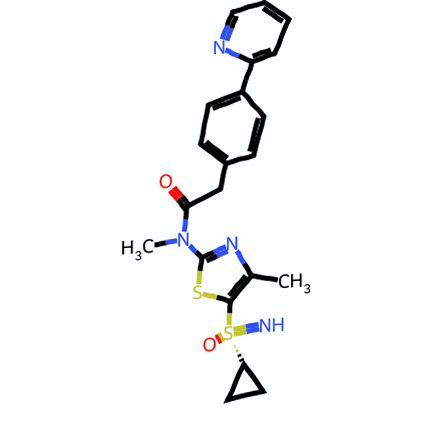 Cc1nc(N(C)C(=O)Cc2ccc(-c3ccccn3)cc2)sc1[S@@](=N)(=O)C1CC1